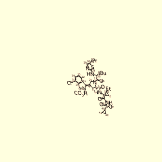 CC[C@@H]1C[C@]1(NC(=O)[C@@H]1C[C@@H](C2c3cccc(Cl)c3CN2C(=O)O)CN1C(=O)C(Nc1ncc(C(C)C)s1)C(C)(C)C)C(=O)NS(=O)(=O)C1CC1